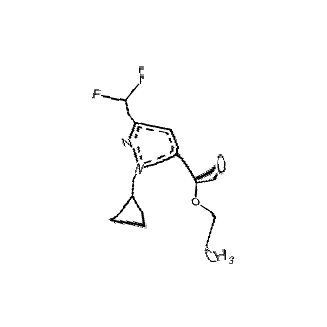 CCOC(=O)c1cc(C(F)F)nn1C1CC1